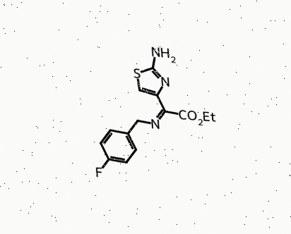 CCOC(=O)C(=NCc1ccc(F)cc1)c1csc(N)n1